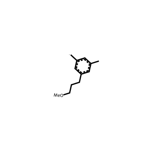 [CH2]c1cc(C)cc(CCCOC)c1